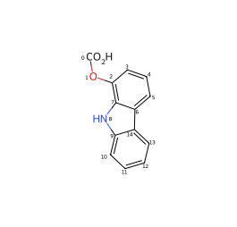 O=C(O)Oc1cccc2c1[nH]c1ccccc12